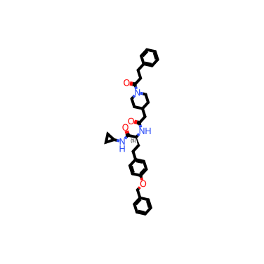 O=C(CC1CCN(C(=O)CCc2ccccc2)CC1)N[C@@H](CCc1ccc(OCc2ccccc2)cc1)C(=O)NC1CC1